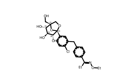 CCON=C(CC)c1ccc(Cc2cc([C@]34OC[C@](CO)(O3)[C@@H](O)[C@H](O)[C@H]4O)ccc2Cl)cc1